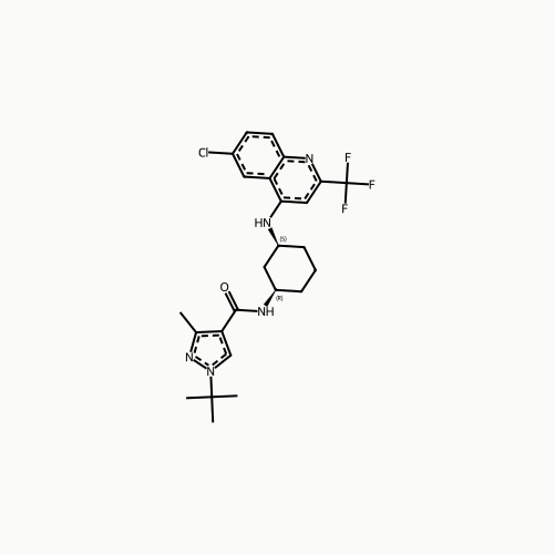 Cc1nn(C(C)(C)C)cc1C(=O)N[C@@H]1CCC[C@H](Nc2cc(C(F)(F)F)nc3ccc(Cl)cc23)C1